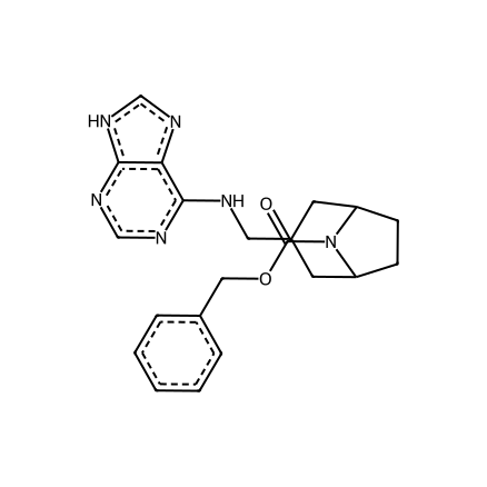 O=C(OCc1ccccc1)N1C2CCC1CC(CNc1ncnc3[nH]cnc13)C2